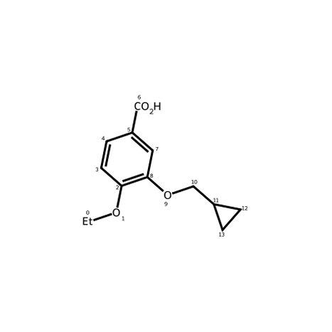 CCOc1ccc(C(=O)O)cc1OCC1CC1